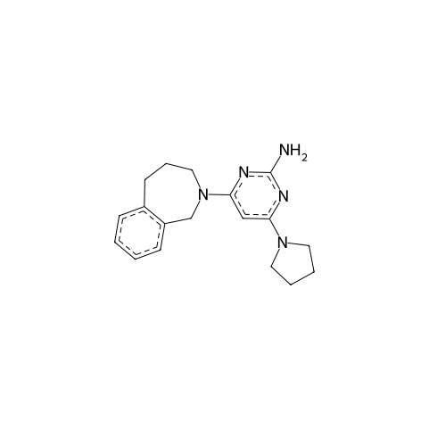 Nc1nc(N2CCCC2)cc(N2CCCc3ccccc3C2)n1